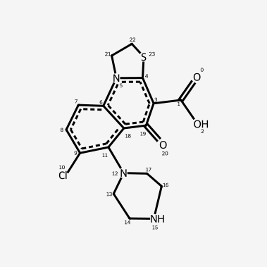 O=C(O)c1c2n(c3ccc(Cl)c(N4CCNCC4)c3c1=O)CCS2